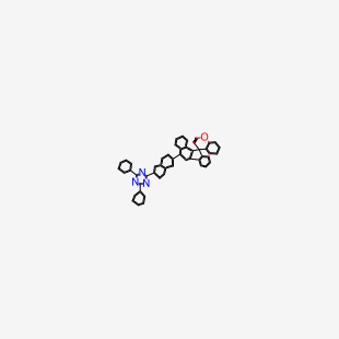 c1ccc(-c2nc(-c3ccccc3)nc(-c3ccc4cc(-c5cc6c(c7ccccc57)C5(c7ccccc7Oc7ccccc75)c5ccccc5-6)ccc4c3)n2)cc1